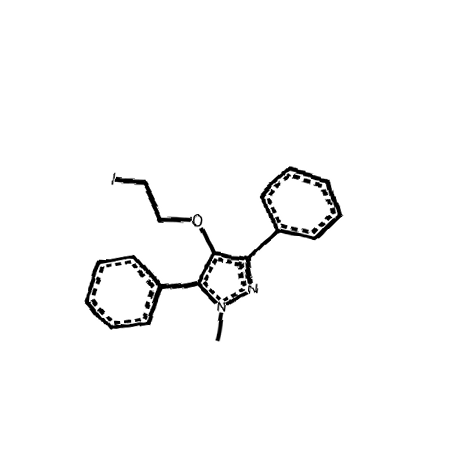 Cn1nc(-c2ccccc2)c(OCCI)c1-c1ccccc1